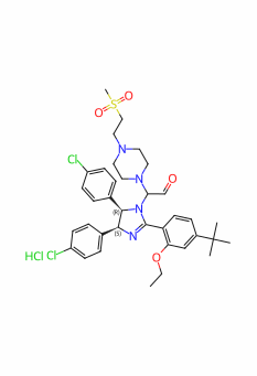 CCOc1cc(C(C)(C)C)ccc1C1=N[C@@H](c2ccc(Cl)cc2)[C@@H](c2ccc(Cl)cc2)N1C(C=O)N1CCN(CCS(C)(=O)=O)CC1.Cl